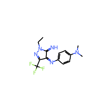 CCN1N=C(C(F)(F)F)C(=Nc2ccc(N(C)C)cc2)C1=N